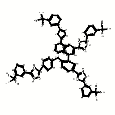 FC(F)(F)c1cccc(C2=CC=C(c3ccc([C@@H](c4ccc(-c5nnc(-c6cccc(C(F)(F)F)c6)o5)cc4)c4ccc(-c5nnc(-c6cccc(C(F)(F)F)c6)o5)cc4-c4cccc(-c5nnc(-c6cccc(C(F)(F)F)c6)o5)c4)cc3)C2)c1